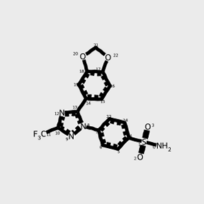 NS(=O)(=O)c1ccc(-n2nc(C(F)(F)F)nc2-c2ccc3c(c2)OCO3)cc1